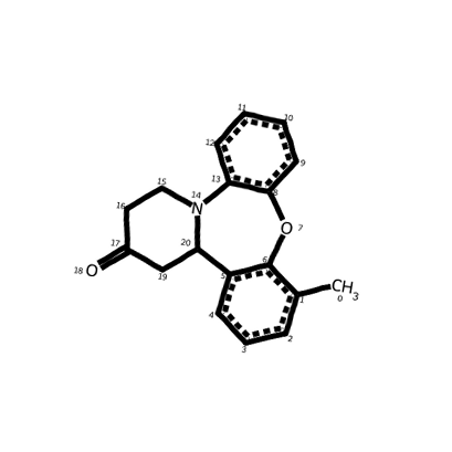 Cc1cccc2c1Oc1ccccc1N1CCC(=O)CC21